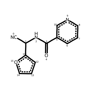 N#CC(NC(=O)c1cccnc1)c1ccco1